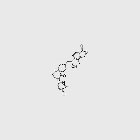 Cc1c(C(O)CN2CCC3(CC2)OCCN(c2ccc(=O)n(C)n2)C3=O)ccc2c1COC2=O